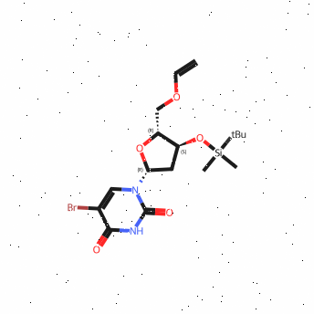 C=COC[C@H]1O[C@@H](n2cc(Br)c(=O)[nH]c2=O)C[C@@H]1O[Si](C)(C)C(C)(C)C